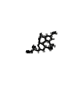 CSC(C)CC1CC(=O)C(c2c(C)cc(C)cc2C)C(O)C1